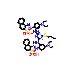 CCCCSc1nc(Nc2cc(N(CC)CC)ccc2/N=N/c2c(S(=O)(=O)O)ccc3ccccc23)nc(Nc2cc(N(CC)CC)ccc2/N=N/c2c(S(=O)(=O)O)ccc3ccccc23)n1